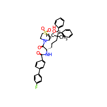 CC(C)(CCC[C@H](NC(=O)c1ccc(-c2ccc(F)cc2)cc1)C(=O)N1CCS(=O)(=O)CC1)[Si](O)(c1ccccc1)c1ccccc1